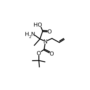 C=CCN(C(=O)OC(C)(C)C)C(C)(N)C(=O)O